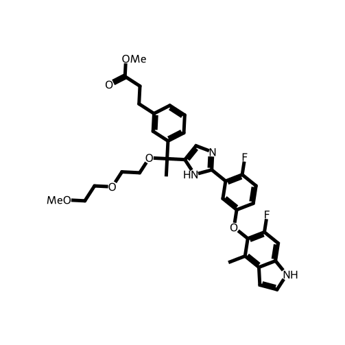 COCCOCCOC(C)(c1cccc(CCC(=O)OC)c1)c1cnc(-c2cc(Oc3c(F)cc4[nH]ccc4c3C)ccc2F)[nH]1